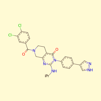 CC(C)Nc1nc2c(c(=O)n1-c1ccc(-c3cn[nH]c3)cc1)CCN(C(=O)c1ccc(Cl)c(Cl)c1)C2